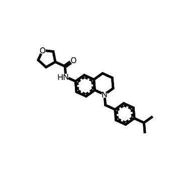 CC(C)c1ccc(CN2CCCc3cc(NC(=O)C4CCOC4)ccc32)cc1